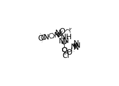 C[C](C)CCOc1nn([C@H]2CC[C@H](N3C[C@@H](C)O[C@@H](C)C3)CC2)cc1Nc1ncc(-c2ccc(Cl)c(O[C@@H](C)Cn3cnnn3)c2)cn1